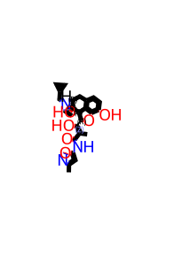 C/C(C(=O)Nc1cc(C)no1)=C(/O)[C@@H]1Oc2c(O)ccc3c2[C@@]12CCN(CC1CC1)[C@H](C3)[C@@]2(C)O